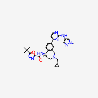 Cn1cc(Nc2nccc(-c3ccc4c(c3)CN(CC3CC3)CC[C@H]4NC(=O)c3nnc(C(C)(C)C)o3)n2)cn1